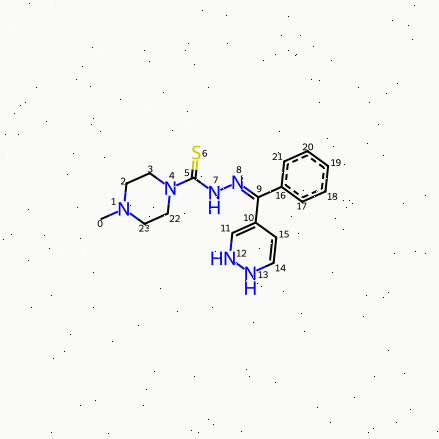 CN1CCN(C(=S)N/N=C(\C2=CNNC=C2)c2ccccc2)CC1